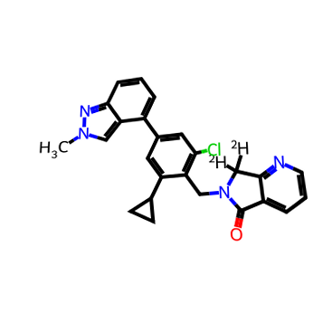 [2H]C1([2H])c2ncccc2C(=O)N1Cc1c(Cl)cc(-c2cccc3nn(C)cc23)cc1C1CC1